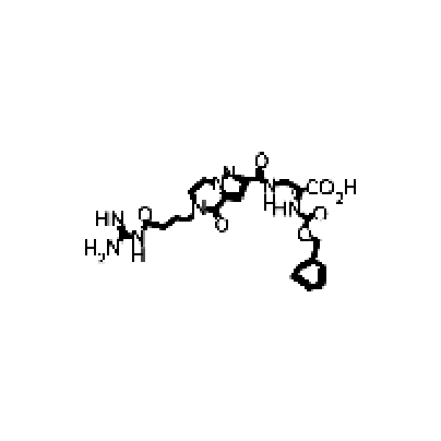 N=C(N)NC(=O)CCCN1CCn2nc(C(=O)NC[C@H](NC(=O)OCc3ccccc3)C(=O)O)cc2C1=O